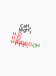 Cl.O.O.O.O.O.O.[CaH2].[MgH2]